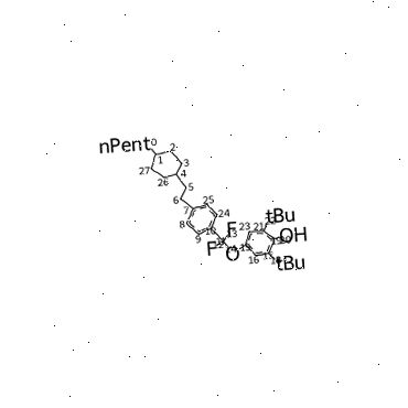 CCCCCC1CCC(CCc2ccc(C(F)(F)Oc3cc(C(C)(C)C)c(O)c(C(C)(C)C)c3)cc2)CC1